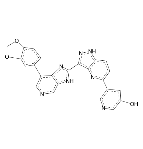 Oc1cncc(-c2ccc3[nH]nc(-c4nc5c(-c6ccc7c(c6)OCO7)cncc5[nH]4)c3n2)c1